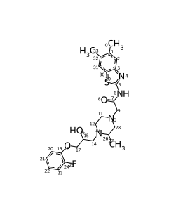 Cc1cc2nc(NC(=O)CN3CCN(CC(O)COc4ccccc4F)C(C)C3)sc2cc1C